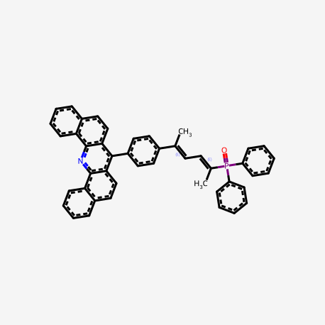 C/C(=C\C=C(/C)P(=O)(c1ccccc1)c1ccccc1)c1ccc(-c2c3ccc4ccccc4c3nc3c2ccc2ccccc23)cc1